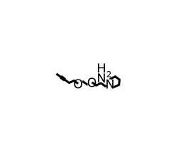 CC#CCCOCCOCC(N)CN1CCCCC1